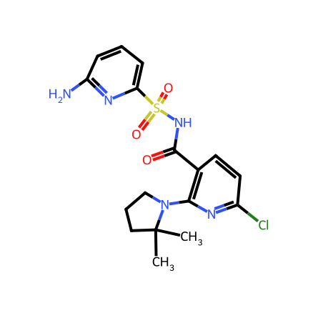 CC1(C)CCCN1c1nc(Cl)ccc1C(=O)NS(=O)(=O)c1cccc(N)n1